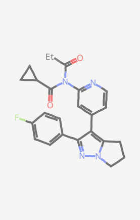 CCC(=O)N(C(=O)C1CC1)c1cc(-c2c(-c3ccc(F)cc3)nn3c2CCC3)ccn1